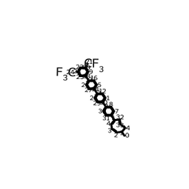 CC1\C=C/C=C(c2ccc(-c3ccc(-c4ccc(-c5cc(C(F)(F)F)cc(C(F)(F)F)c5)cc4)cc3)cc2)\C=C\C1